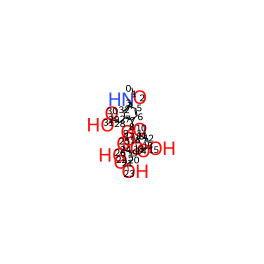 CC(=O)Nc1ccc(C(=O)O[C@@H](CC(=O)O)C(=O)OC(CC(=O)O)C(=O)O)c(CC(=O)O)c1